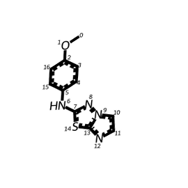 COc1ccc(Nc2nn3ccnc3s2)cc1